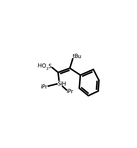 CC(C)[SiH](C(=C(c1ccccc1)C(C)(C)C)S(=O)(=O)O)C(C)C